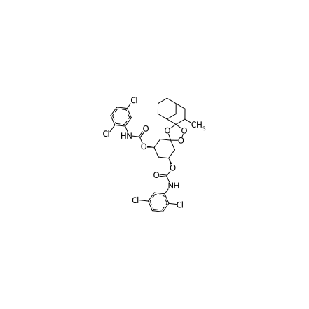 CC1CC2CCCC(C2)C12OOC1(C[C@H](OC(=O)Nc3cc(Cl)ccc3Cl)C[C@H](OC(=O)Nc3cc(Cl)ccc3Cl)C1)O2